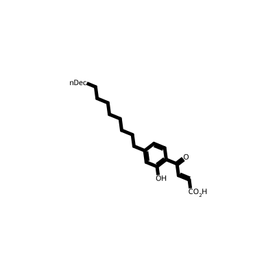 CCCCCCCCCCCCCCCCCCc1ccc(C(=O)C=CC(=O)O)c(O)c1